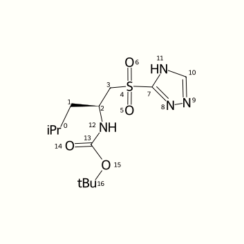 CC(C)C[C@@H](CS(=O)(=O)c1nnc[nH]1)NC(=O)OC(C)(C)C